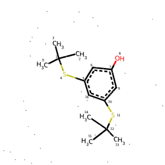 CC(C)(C)Sc1cc(O)cc(SC(C)(C)C)c1